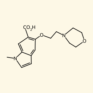 Cn1ccc2cc(OCCN3CCOCC3)c(C(=O)O)cc21